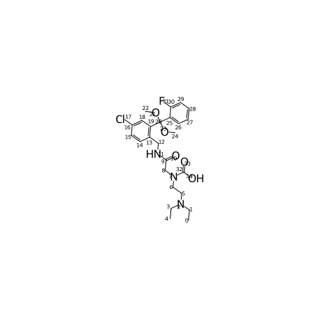 CCN(CC)CCN(CC(=O)NCc1ccc(Cl)cc1C(OC)(OC)c1ccccc1F)C(=O)O